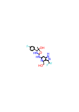 CC(C)(O)C(NC(=O)Nc1cc2[nH]nc(C(F)F)c2c(CO)n1)c1ccc(F)cc1